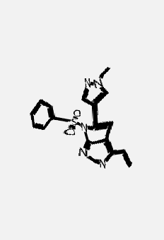 C=Cc1ncnc2c1cc(-c1cnn(C)c1)n2S(=O)(=O)c1ccccc1